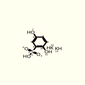 O=S(=O)(O)c1cc(O)ccc1O.[KH].[KH]